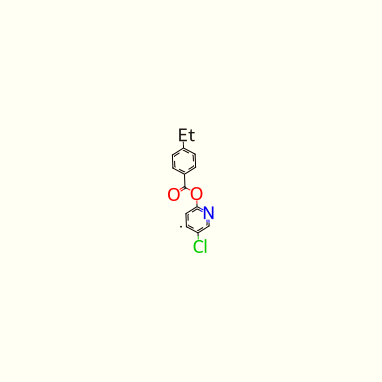 CCc1ccc(C(=O)Oc2c[c]c(Cl)cn2)cc1